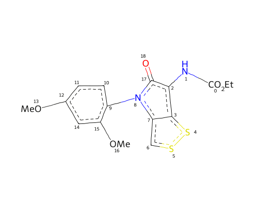 CCOC(=O)Nc1c2sscc-2n(-c2ccc(OC)cc2OC)c1=O